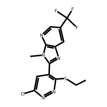 CCSc1nnc(Cl)cc1-c1nc2cc(C(F)(F)F)cnc2n1C